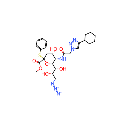 COC(=O)C1(Sc2ccccc2)C[C@H](O)[C@@H](NC(=O)Cn2cc(C3CCCCC3)nn2)[C@H]([C@H](O)[C@H](O)CN=[N+]=[N-])O1